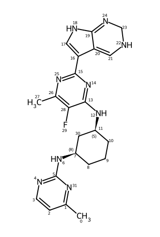 Cc1ccnc(N[C@@H]2CCC[C@H](Nc3nc(-c4c[nH]c5c4=CNCN=5)nc(C)c3F)C2)n1